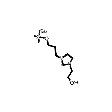 CC(C)(C)[Si](C)(C)OCCCN1[C]N(CCO)CC1